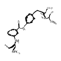 CC(C)COC(=O)N[C@@H](Cc1ccc(NC(=O)c2cccc(NC(=N)N)c2)cc1)C(=O)O